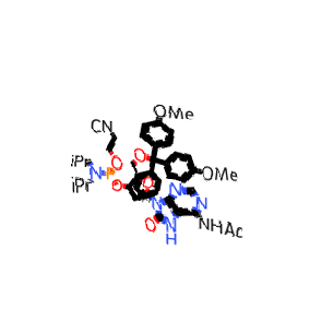 [C-]#[N+]CCOP(OC1C[C@H](n2c(=O)[nH]c3c(NC(C)=O)ncnc32)O[C@@H]1COC(c1ccccc1)(c1ccc(OC)cc1)c1ccc(OC)cc1)N(C(C)C)C(C)C